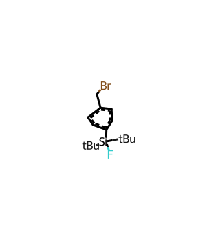 CC(C)(C)[Si](F)(c1ccc(CBr)cc1)C(C)(C)C